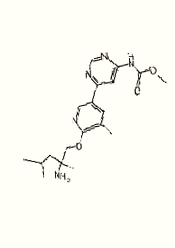 COC(=O)Nc1cc(-c2cnc(OCC(C)(N)CC(C)C)c(C)c2)ncn1